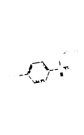 [CH2]CCCOS(=O)(=O)c1ccc(C)cc1